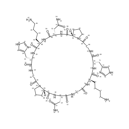 NCCCC[C@H]1NC(=O)CNC(=O)[C@H](CC(N)=O)NC(=O)[C@@H]2CCCN2C(=O)CNC(=O)[C@H](Cc2c[nH]cn2)NC(=O)[C@@H](CCCCN)NC(=O)[C@H](CC(N)=O)NC(=O)[C@@H]2CCCN2C(=O)CNC(=O)[C@H](Cc2c[nH]cn2)NC1=O